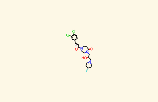 O=C(/C=C/c1ccc(Cl)c(Cl)c1)N1CCC(=O)N(CC(O)CN2CCC(F)CC2)CC1